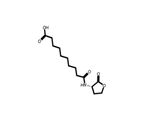 O=C(O)CCCCCCCCC(=O)N[C@H]1CCOC1=O